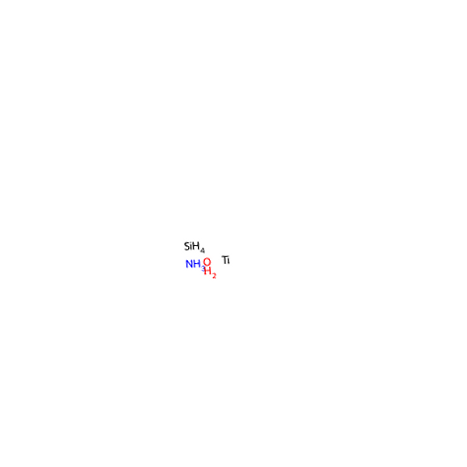 N.O.[SiH4].[Ti]